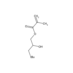 C=C(C)C(=O)OCC(O)CC(C)(C)C